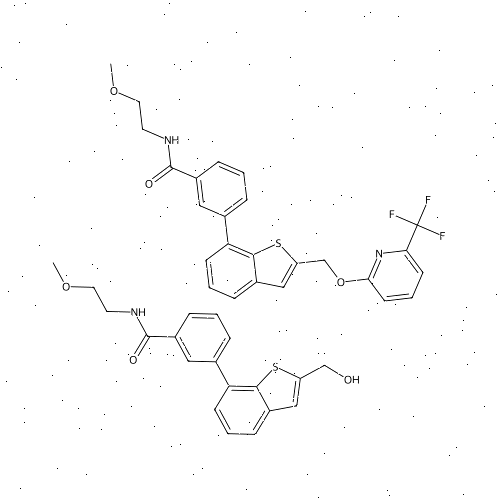 COCCNC(=O)c1cccc(-c2cccc3cc(CO)sc23)c1.COCCNC(=O)c1cccc(-c2cccc3cc(COc4cccc(C(F)(F)F)n4)sc23)c1